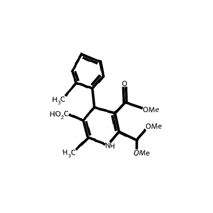 COC(=O)C1=C(C(OC)OC)NC(C)=C(C(=O)O)C1c1ccccc1C